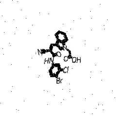 N#CC(=Cc1cn(CC(=O)O)c2ccccc12)C(=O)Nc1ccc(Br)c(Cl)c1